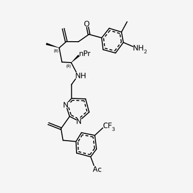 C=C(Cc1cc(C(C)=O)cc(C(F)(F)F)c1)c1nccc(CN[C@H](CCC)C[C@@H](C)C(=C)CC(=O)c2ccc(N)c(C)c2)n1